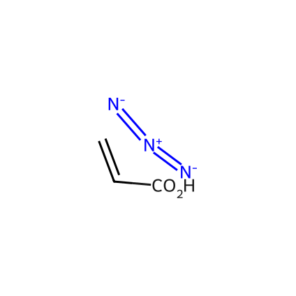 C=CC(=O)O.[N-]=[N+]=[N-]